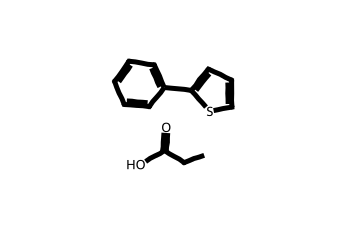 CCC(=O)O.c1ccc(-c2cccs2)cc1